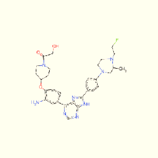 CC1CN(c2ccc(-c3nc4c(-c5ccc(OC6CCN(C(=O)CO)CC6)c(N)c5)ncnc4[nH]3)cc2)CCN1CCF